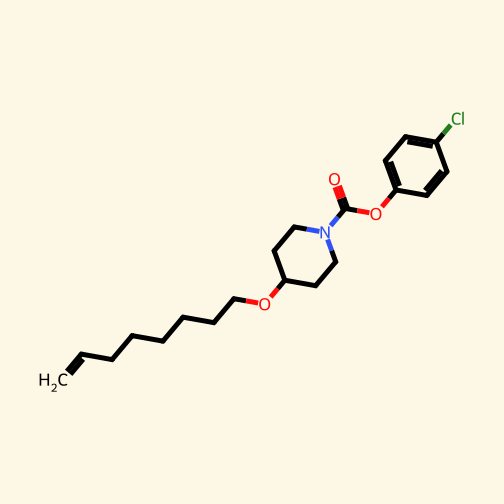 C=CCCCCCCOC1CCN(C(=O)Oc2ccc(Cl)cc2)CC1